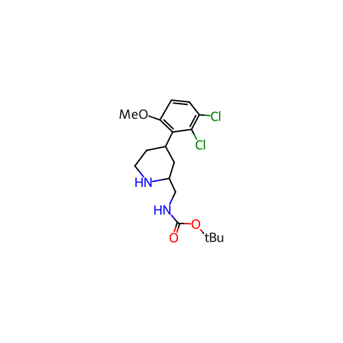 COc1ccc(Cl)c(Cl)c1C1CCNC(CNC(=O)OC(C)(C)C)C1